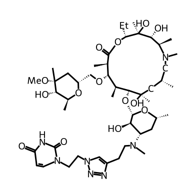 CC[C@H]1OC(=O)[C@H](C)[C@@H](OC[C@H]2C[C@@](C)(OC)[C@@H](O)[C@H](C)O2)[C@H](C)[C@@H](O[C@@H]2O[C@H](C)C[C@H](N(C)CCc3cn(CCn4ccc(=O)[nH]c4=O)nn3)[C@H]2O)[C@](C)(O)C[C@@H](C)CN(C)[C@H](C)[C@@H](O)[C@]1(C)O